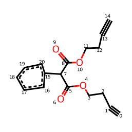 C#CCCOC(=O)C(C(=O)OCCC#C)c1ccccc1